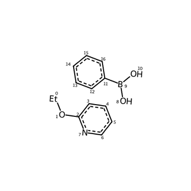 CCOc1ccccn1.OB(O)c1ccccc1